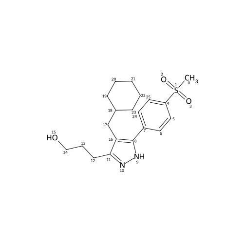 CS(=O)(=O)c1ccc(-c2[nH]nc(CCCO)c2CC2CCCCC2)cc1